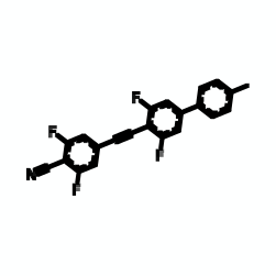 Cc1ccc(-c2cc(F)c(C#Cc3cc(F)c(C#N)c(F)c3)c(F)c2)cc1